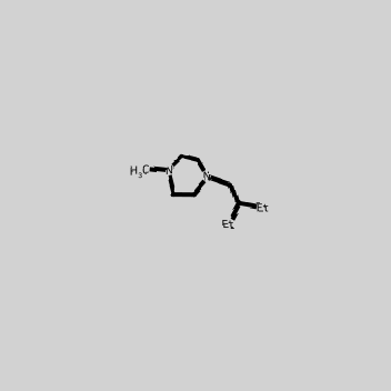 CCC(CC)CN1CCN(C)CC1